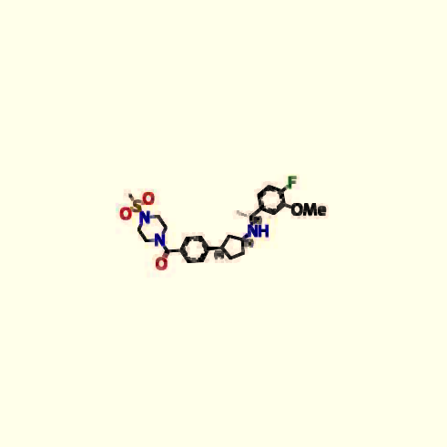 COc1cc([C@@H](C)N[C@H]2CC[C@@H](c3ccc(C(=O)N4CCN(S(C)(=O)=O)CC4)cc3)C2)ccc1F